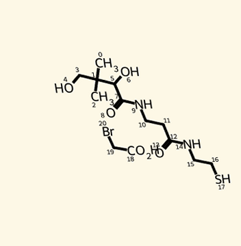 CC(C)(CO)C(O)C(=O)NCCC(=O)NCCS.O=C(O)CBr